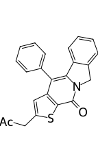 CC(=O)Cc1cc2c(-c3ccccc3)c3n(c(=O)c2s1)Cc1ccccc1-3